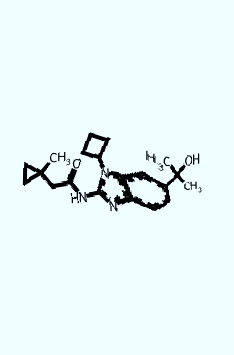 CC1(CC(=O)Nc2nc3ccc(C(C)(C)O)cc3n2C2CCC2)CC1